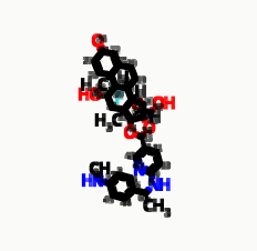 CNc1ccc([C@@H](C)Nc2ccc([C@@H]3O[C@@H]4C[C@H]5[C@@H]6CCC7=CC(=O)C=C[C@]7(C)[C@@]6(F)[C@@H](O)C[C@]5(C)[C@]4(C(=O)CO)O3)cn2)cc1